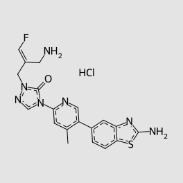 Cc1cc(-n2cnn(C/C(=C/F)CN)c2=O)ncc1-c1ccc2sc(N)nc2c1.Cl